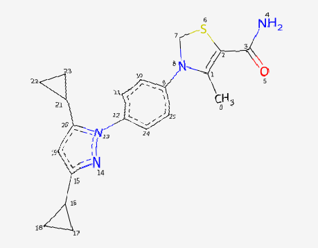 CC1=C(C(N)=O)SCN1c1ccc(-n2nc(C3CC3)cc2C2CC2)cc1